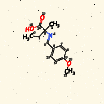 CCC(C)(N=Cc1ccc(OC)cc1)C(=O)O